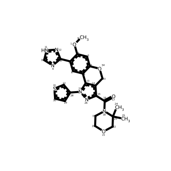 COc1cc2c(cc1-c1nc[nH]n1)-c1c(c(C(=O)N3CCOCC3(C)C)nn1-c1ccsc1)CO2